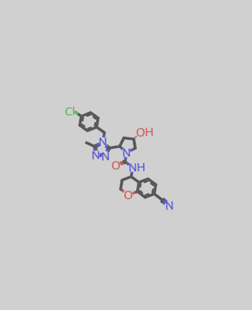 Cc1nnc(C2C[C@H](O)CN2C(=O)NC2CCOc3cc(C#N)ccc32)n1Cc1ccc(Cl)cc1